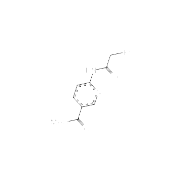 COC(=O)c1ccc(NC(=O)CC(C)C)nc1